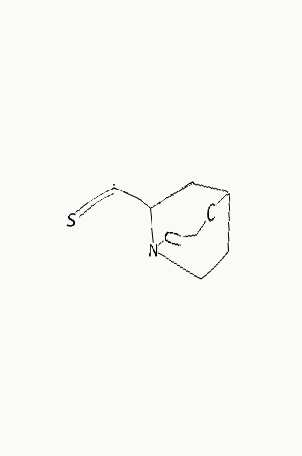 S=[C]C1CC2CCN1CC2